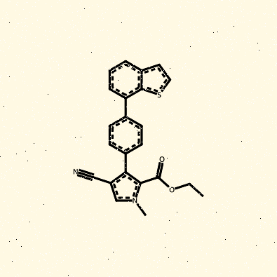 CCOC(=O)c1c(-c2ccc(-c3cccc4ccsc34)cc2)c(C#N)cn1C